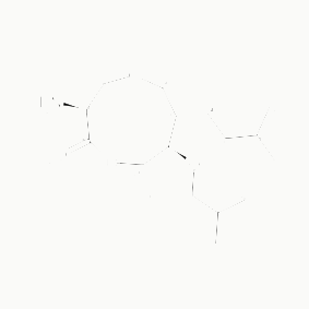 CC(C)CC[C@H]1COC[C@H](N)C(=O)O[C@@H](C)[C@@H]1OCC(C)C